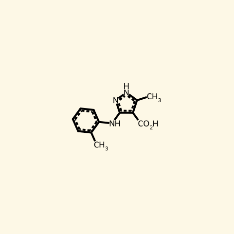 Cc1ccccc1Nc1n[nH]c(C)c1C(=O)O